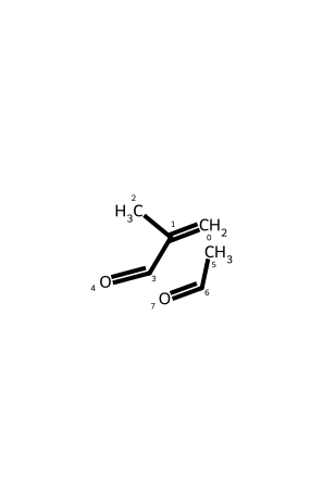 C=C(C)C=O.CC=O